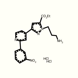 CCOC(=O)c1cc(-c2ccnc(-c3cccc([N+](=O)[O-])c3)c2)nn1CCCN.Cl.Cl